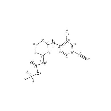 CC(C)(C)OC(=O)NC1CCCC(Nc2ccc(C#N)cc2Cl)C1